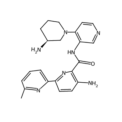 Cc1cccc(-c2ccc(N)c(C(=O)Nc3cnccc3N3CCC[C@H](N)C3)n2)n1